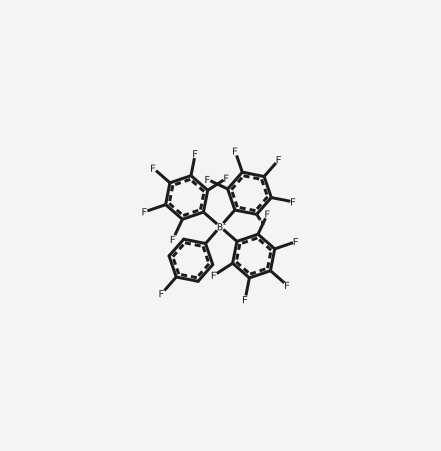 Fc1ccc([B-](c2c(F)c(F)c(F)c(F)c2F)(c2c(F)c(F)c(F)c(F)c2F)c2c(F)c(F)c(F)c(F)c2F)cc1